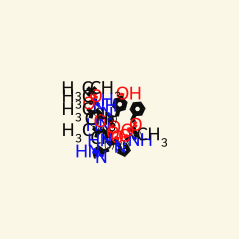 CCC(C)[C@H](NC(=O)[C@H](Cc1ccc(O)cc1)NC(=O)[C@@H](NC(=O)OC(C)(C)C)C(C)C)C(=O)N[C@@H](Cc1c[nH]cn1)C(=O)N1CCC[C@H]1C(=O)N[C@H](C)C(=O)OCc1ccccc1